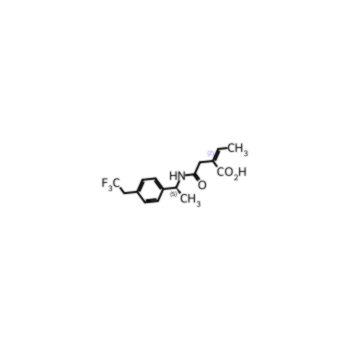 C/C=C(/CC(=O)N[C@@H](C)c1ccc(CC(F)(F)F)cc1)C(=O)O